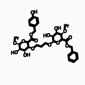 CC(C)O[C@@H]1OC(C(=O)OCc2ccc(O)cc2)[C@@H](OCCCO[C@@H]2OC(C(=O)OCc3ccccc3)[C@@H](OC(C)C)[C@H](O)[C@@H]2O)[C@H](O)[C@@H]1O